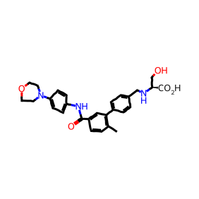 Cc1ccc(C(=O)Nc2ccc(N3CCOCC3)cc2)cc1-c1ccc(CN[C@@H](CO)C(=O)O)cc1